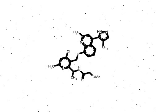 COCC(=O)NC(C)c1nc(C)cc(Cl)c1COc1cccc2c(-c3[nH]ncc3C)cc(C)nc12